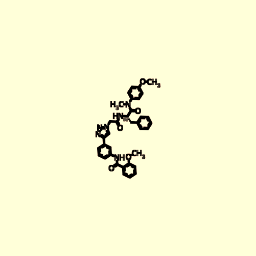 COc1ccc(N(C)C(=O)[C@H](Cc2ccccc2)NC(=O)Cn2cc(-c3cccc(NC(=O)c4ccccc4OC)c3)nn2)cc1